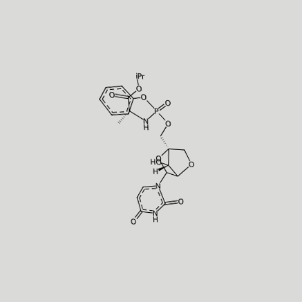 CC(C)OC(=O)[C@@H](C)NP(=O)(OC[C@@]12COC(C(n3ccc(=O)[nH]c3=O)O1)[C@@H]2O)Oc1ccccc1